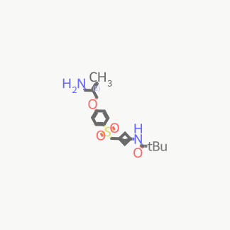 C/C=C(\CN)COc1ccc(S(=O)(=O)CC23CC(NC(=O)C(C)(C)C)(C2)C3)cc1